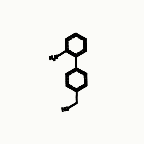 Nc1ccccc1-c1ccc(CO)cc1